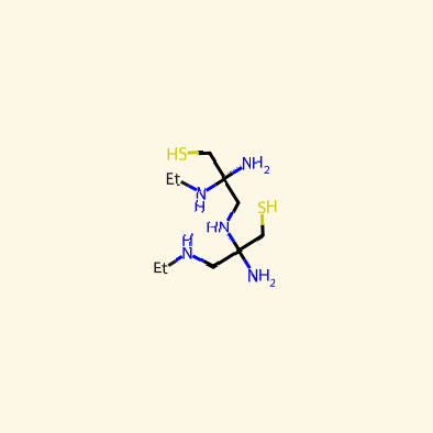 CCNCC(N)(CS)NCC(N)(CS)NCC